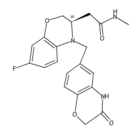 CNC(=O)C[C@@H]1COc2cc(F)ccc2N1Cc1ccc2c(c1)NC(=O)CO2